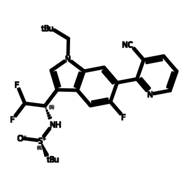 CC(C)(C)Cn1cc([C@H](N[S@+]([O-])C(C)(C)C)C(F)F)c2cc(F)c(-c3ncccc3C#N)cc21